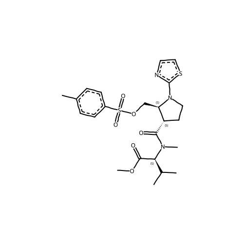 COC(=O)[C@H](C(C)C)N(C)C(=O)[C@H]1CCN(c2nccs2)[C@@H]1COS(=O)(=O)c1ccc(C)cc1